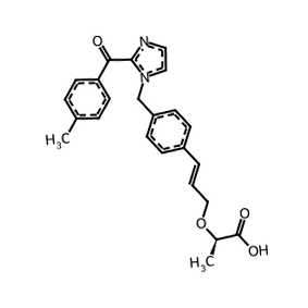 Cc1ccc(C(=O)c2nccn2Cc2ccc(C=CCO[C@H](C)C(=O)O)cc2)cc1